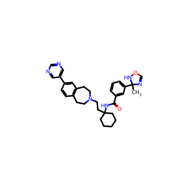 CC1(c2cccc(C(=O)NC3(CCN4CCc5ccc(-c6cncnc6)cc5CC4)CCCCC3)c2)N=CON1